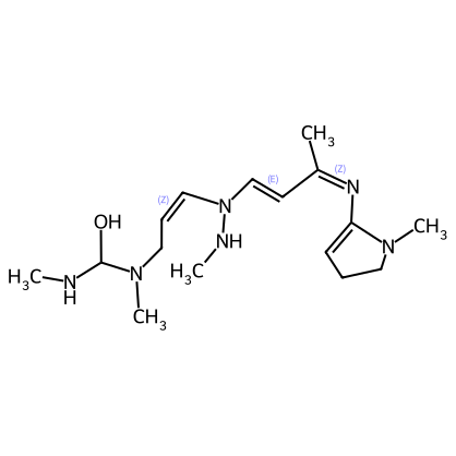 CNC(O)N(C)C/C=C\N(/C=C/C(C)=N\C1=CCCN1C)NC